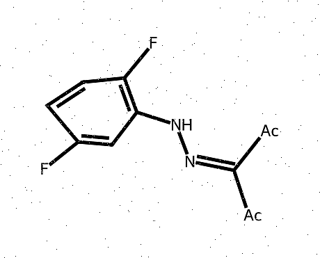 CC(=O)C(=NNc1cc(F)ccc1F)C(C)=O